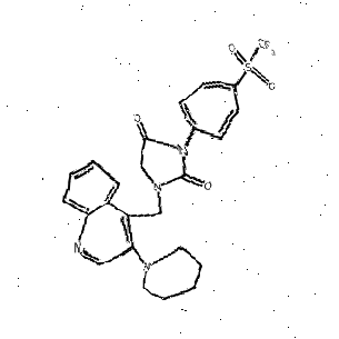 O=C1CN(Cc2c(N3CCCCC3)cnc3ccccc23)C(=O)N1c1ccc(S(=O)(=O)C(F)(F)F)cc1